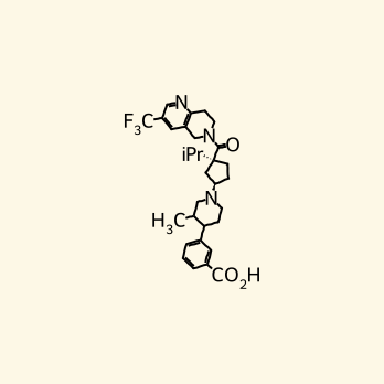 CC1CN([C@@H]2CC[C@@](C(=O)N3CCc4ncc(C(F)(F)F)cc4C3)(C(C)C)C2)CCC1c1cccc(C(=O)O)c1